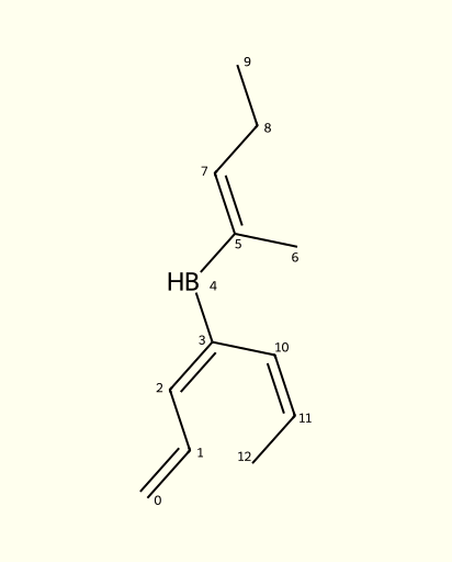 C=C/C=C(B/C(C)=C/CC)\C=C/C